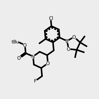 Cc1cc(Cl)cc(B2OC(C)(C)C(C)(C)O2)c1CC1CN(C(=O)OC(C)(C)C)CC(CF)O1